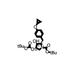 CC(C)(C)OC(=O)O[C@H]1CN(C(=O)OC(C)(C)C)[C@H](Cc2ccc(OC3CC3)cc2)[C@@H]1O